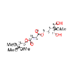 CO[Si](CO)(CO)CCCOC(=O)/C=C/C(=O)OCC[Si](OC)(OC)OC